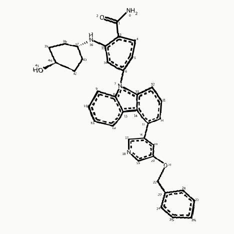 NC(=O)c1ccc(-n2c3ccccc3c3c(-c4cncc(OCc5ccccc5)c4)cccc32)cc1N[C@H]1CC[C@H](O)CC1